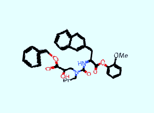 COc1ccccc1OC(=O)C(Cc1ccc2ccccc2c1)NC(=O)N(CC(C)C)CC(O)C(=O)OCc1ccccc1